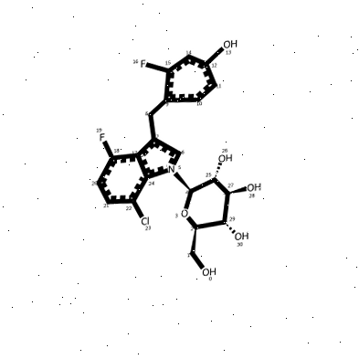 OC[C@H]1O[C@@H](n2cc(Cc3ccc(O)cc3F)c3c(F)ccc(Cl)c32)[C@H](O)[C@@H](O)[C@@H]1O